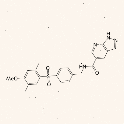 COc1cc(C)c(S(=O)(=O)c2ccc(CNC(=O)c3cnc4[nH]ncc4c3)cc2)cc1C